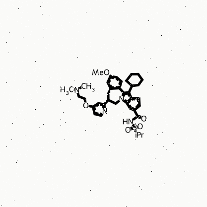 COc1ccc2c(c1)CC(c1cc(OCCN(C)C)ccn1)Cn1c-2c(C2CCCCC2)c2ccc(C(=O)NS(=O)(=O)C(C)C)cc21